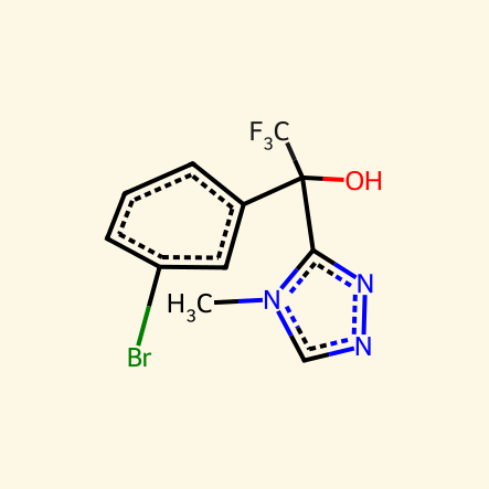 Cn1cnnc1C(O)(c1cccc(Br)c1)C(F)(F)F